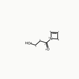 O=C(CCO)N1C=CC1